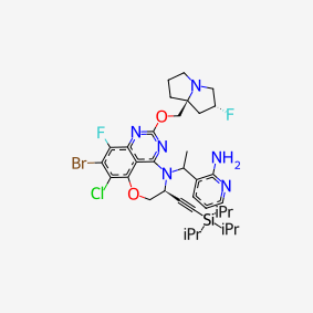 CC(c1cccnc1N)N1c2nc(OC[C@@]34CCCN3C[C@H](F)C4)nc3c(F)c(Br)c(Cl)c(c23)OC[C@@H]1C#C[Si](C(C)C)(C(C)C)C(C)C